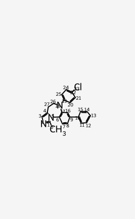 Cc1ncc2n1-c1ccc(-c3ccccc3)cc1N(c1ccc(Cl)cc1)CC2